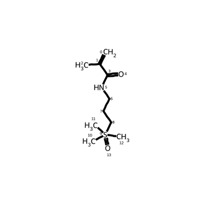 C=C(C)C(=O)NCCCS(C)(C)(C)=O